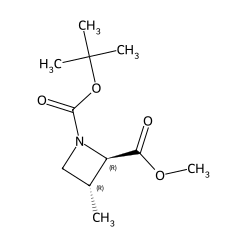 COC(=O)[C@H]1[C@H](C)CN1C(=O)OC(C)(C)C